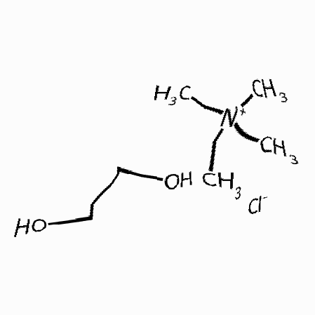 C[N+](C)(C)C.OCCO.[Cl-]